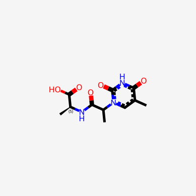 Cc1cn(C(C)C(=O)N[C@@H](C)C(=O)O)c(=O)[nH]c1=O